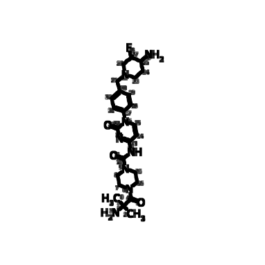 CC(C)(N)C(=O)N1CCN(C(=O)Nc2ccn(-c3ccc(CN4CCC(N)C(F)C4)cc3)c(=O)n2)CC1